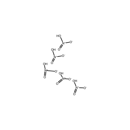 O=[N+]([O-])O.O=[N+]([O-])O.O=[N+]([O-])O.O=[N+]([O-])O.O=[N+]([O-])O